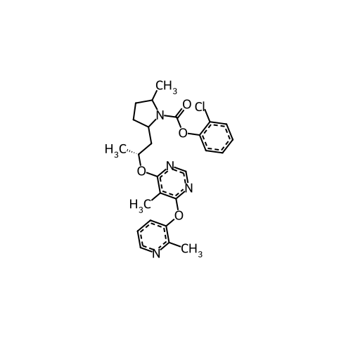 Cc1ncccc1Oc1ncnc(O[C@H](C)CC2CCC(C)N2C(=O)Oc2ccccc2Cl)c1C